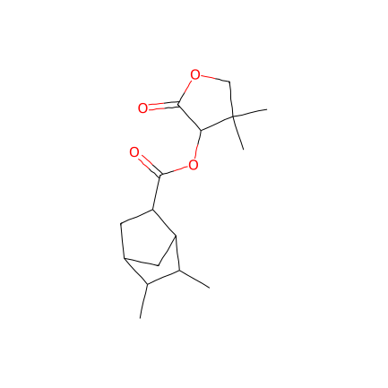 CC1C2CC(C(=O)OC3C(=O)OCC3(C)C)C(C2)C1C